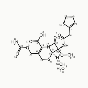 CO[C@@]1(NC(=O)Cc2cccs2)C(=O)N2C(C(=O)O)=C(COC(N)=O)CS[C@@H]21.O.O